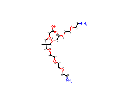 CC(COCCOCCOCCN)(COCCOCCOCCN)COCC(=O)O